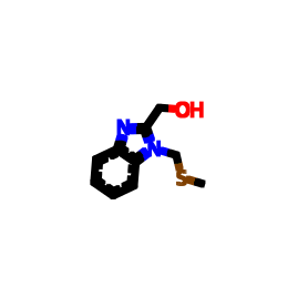 CSCn1c(CO)nc2ccccc21